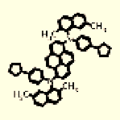 Cc1ccc2ccc(C)c(N(c3ccc(C4CCCC4)cc3)c3ccc4ccc5c(N(c6ccc(C7CCCC7)cc6)c6c(C)ccc7ccc(C)cc67)ccc6ccc3c4c65)c2c1